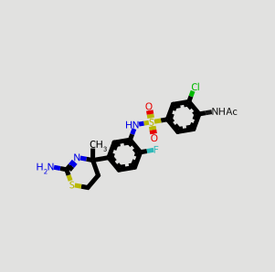 CC(=O)Nc1ccc(S(=O)(=O)Nc2cc(C3(C)CCSC(N)=N3)ccc2F)cc1Cl